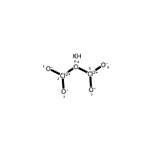 [KH].[O-][Cl+2]([O-])O[Cl+2]([O-])[O-]